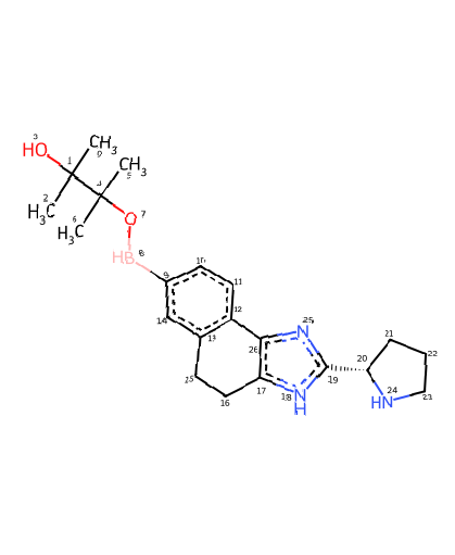 CC(C)(O)C(C)(C)OBc1ccc2c(c1)CCc1[nH]c([C@@H]3CCCN3)nc1-2